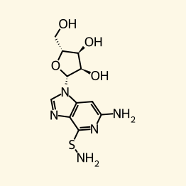 NSc1nc(N)cc2c1ncn2[C@@H]1O[C@H](CO)[C@@H](O)[C@H]1O